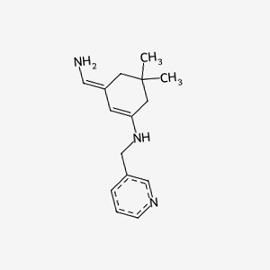 CC1(C)CC(NCc2cccnc2)=C/C(=C/N)C1